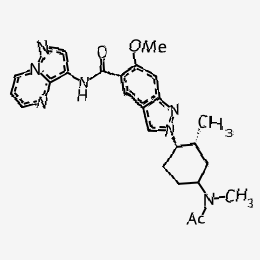 COc1cc2nn([C@@H]3CCC(N(C)C(C)=O)C[C@H]3C)cc2cc1C(=O)Nc1cnn2cccnc12